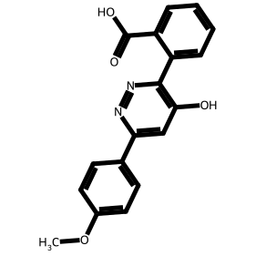 COc1ccc(-c2cc(O)c(-c3ccccc3C(=O)O)nn2)cc1